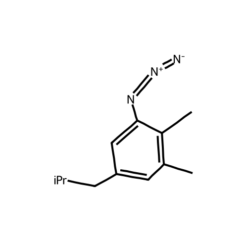 Cc1cc(CC(C)C)cc(N=[N+]=[N-])c1C